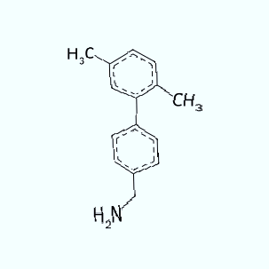 Cc1ccc(C)c(-c2ccc(CN)cc2)c1